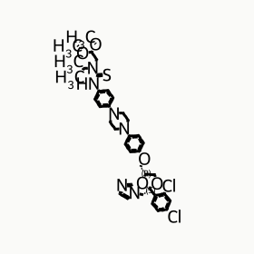 COC(CN(C(=S)Nc1ccc(N2CCN(c3ccc(OC[C@@H]4CO[C@@](Cn5ccnc5)(c5ccc(Cl)cc5Cl)O4)cc3)CC2)cc1)C(C)C)OC